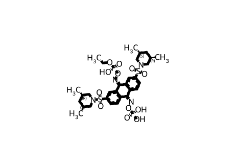 CCOP(=O)(O)ON=C1c2cc(S(=O)(=O)N3C[C@H](C)C[C@H](C)C3)ccc2C(=NOP(=O)(O)O)c2ccc(S(=O)(=O)N3C[C@H](C)C[C@H](C)C3)cc21